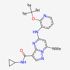 [2H]C([2H])([2H])Oc1ncccc1Nc1cc(NC)n2ncc(C(=O)NC3CC3)c2n1